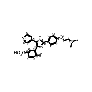 CN(C)CCOc1ccc(-c2nc(-c3cc(C(=O)O)ccc3F)c(-c3ccncc3)[nH]2)cc1